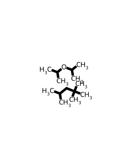 CC(C)CC(C)(C)C.CC(C)OC(C)C